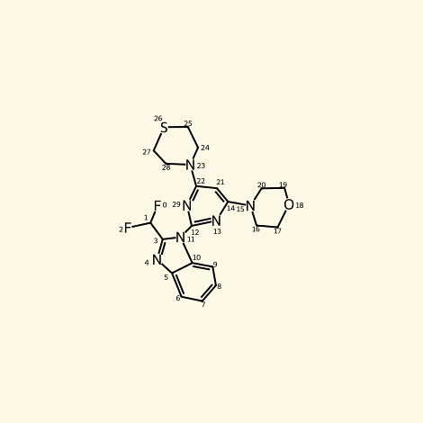 FC(F)c1nc2ccccc2n1-c1nc(N2CCOCC2)cc(N2CCSCC2)n1